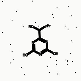 CCCC(C#N)c1nc(O)nc(O)n1